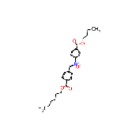 CCCCCCOC(=O)c1ccc(C=[N+]([O-])c2ccc(C(=O)OCCCC)cc2)cc1